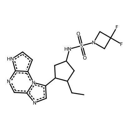 CCC1CC(NS(=O)(=O)N2CC(F)(F)C2)CC1c1cnc2cnc3[nH]ccc3n12